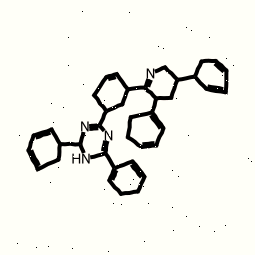 C1=CCCC(C2CC(C3C=CC=CC3)CN=C2C2C=CCC(C3=NC(C4C=CC=CC4)NC(C4=CCCC=C4)=N3)C2)=C1